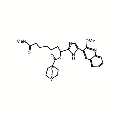 CNC(=O)CCCCCC(NC(=O)C12CCN(CC1)CC2)c1ncc(-c2cc3ccccc3nc2OC)[nH]1